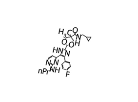 CCCNc1nccc(-c2[nH]c(C3OCC(C)(C(=O)NCC4CC4)CO3)nc2-c2ccc(F)cc2)n1